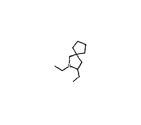 CCC1CC2(CCCC2)CN1CC